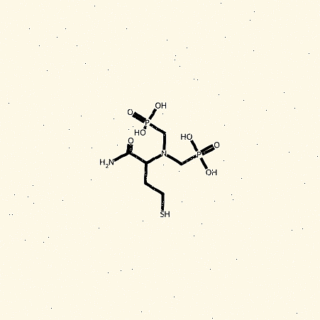 NC(=O)C(CCS)N(CP(=O)(O)O)CP(=O)(O)O